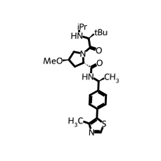 CO[C@@H]1C[C@@H](C(=O)N[C@@H](C)c2ccc(-c3scnc3C)cc2)N(C(=O)[C@@H](NC(C)C)C(C)(C)C)C1